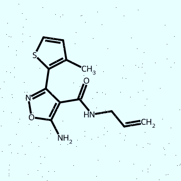 C=CCNC(=O)c1c(-c2sccc2C)noc1N